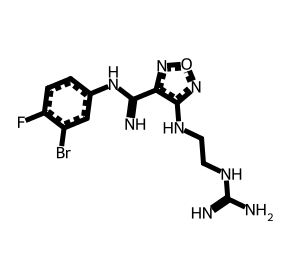 N=C(N)NCCNc1nonc1C(=N)Nc1ccc(F)c(Br)c1